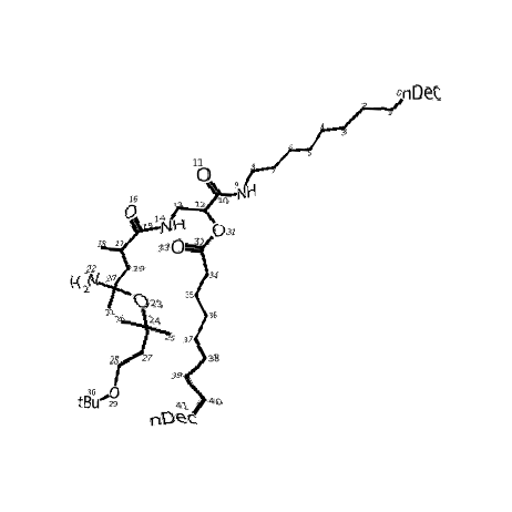 CCCCCCCCCCCCCCCCCCNC(=O)C(CNC(=O)C(C)CC(C)(N)OC(C)(C)CCOC(C)(C)C)OC(=O)CCCCCCCCCCCCCCCCC